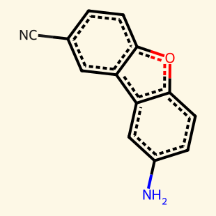 N#Cc1ccc2oc3ccc(N)cc3c2c1